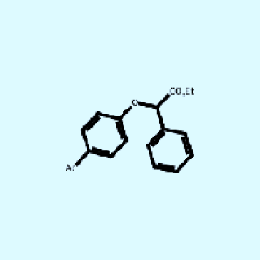 CCOC(=O)C(Oc1ccc(C(C)=O)cc1)c1ccccc1